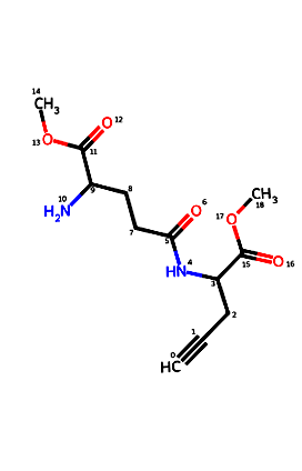 C#CCC(NC(=O)CCC(N)C(=O)OC)C(=O)OC